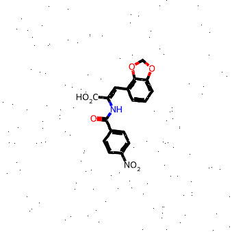 O=C(O)C(=Cc1cccc2c1OCO2)NC(=O)c1ccc([N+](=O)[O-])cc1